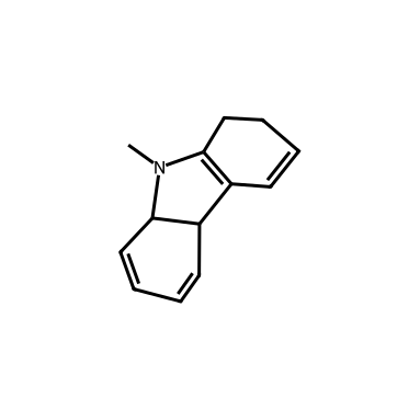 CN1C2=C(C=CCC2)C2C=CC=CC21